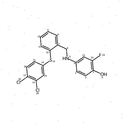 Oc1ccc(NCc2ccccc2Sc2ccc(Cl)c(Cl)c2)cc1F